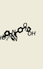 N[N+]12C=CN=CC1=C(C1CCC(C(=O)N3CCC(O)C3)CC1)N=C2c1cccc(O)c1